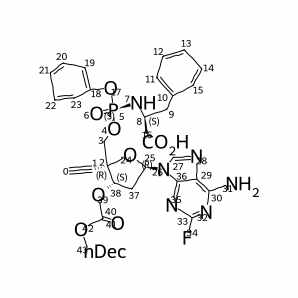 C#C[C@]1(CO[P@@](=O)(N[C@@H](Cc2ccccc2)C(=O)O)Oc2ccccc2)O[C@@H](n2cnc3c(N)nc(F)nc32)C[C@@H]1OC(=O)OCCCCCCCCCC